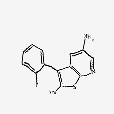 Nc1cnc2sc(S)c(-c3ccccc3F)c2c1